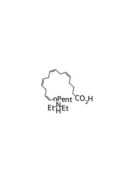 CCCCC/C=C\C/C=C\C/C=C\C/C=C\CCCC(=O)O.CCNCC